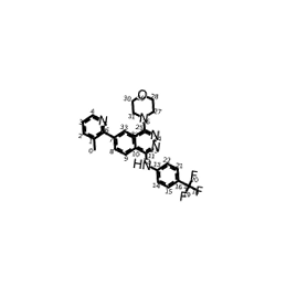 Cc1cccnc1-c1ccc2c(Nc3ccc(C(F)(F)F)cc3)nnc(N3CCOCC3)c2c1